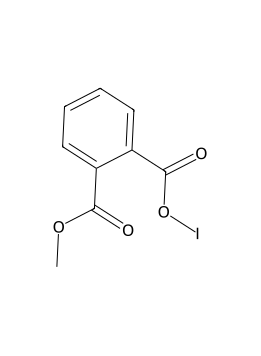 COC(=O)c1ccccc1C(=O)OI